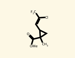 COC(=O)C1(C)CC1C=C(Cl)C(F)(F)F